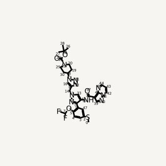 CSc1ccc(OC(F)F)c(-c2nn(Cc3cn(C4CCN(C(=O)OC(C)(C)C)CC4)nn3)cc2NC(=O)c2cnn3cccnc23)c1